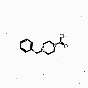 O=C(Cl)N1CCN(Cc2ccccc2)CC1